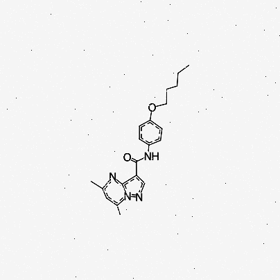 CCCCCOc1ccc(NC(=O)c2cnn3c(C)cc(C)nc23)cc1